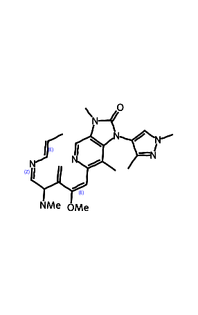 C=C(/C(=C\c1ncc2c(c1C)n(-c1cn(C)nc1C)c(=O)n2C)OC)C(/C=N\C=C\C)NC